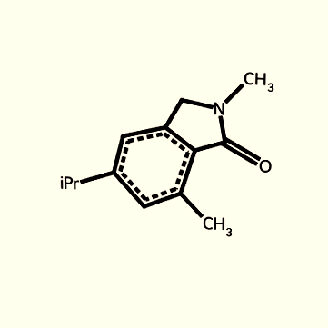 Cc1cc(C(C)C)cc2c1C(=O)N(C)C2